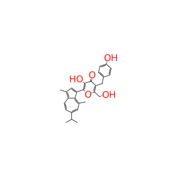 Cc1cc(-c2oc(CO)c(Cc3ccc(O)cc3)c(=O)c2O)c2c(C)cc(C(C)C)ccc1-2